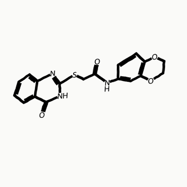 O=C(CSc1nc2ccccc2c(=O)[nH]1)Nc1ccc2c(c1)OCCO2